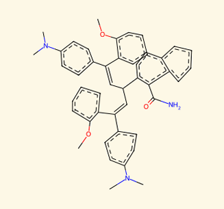 COc1ccccc1C(=CC(C=C(c1ccc(N(C)C)cc1)c1ccccc1OC)c1ccc2ccccc2c1C(N)=O)c1ccc(N(C)C)cc1